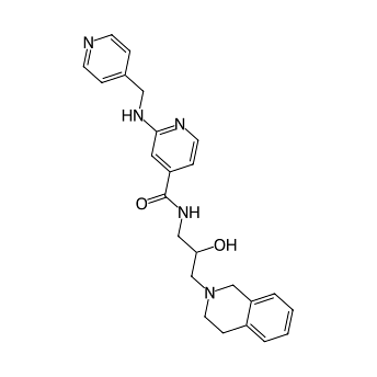 O=C(NCC(O)CN1CCc2ccccc2C1)c1ccnc(NCc2ccncc2)c1